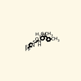 Cc1cccc(CC2(N(C)C)CCC(NC(=O)CSc3ccc(C(F)(F)F)cn3)CC2)c1